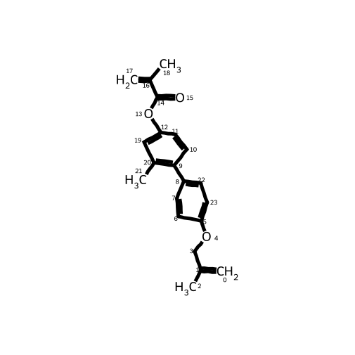 C=C(C)COc1ccc(-c2ccc(OC(=O)C(=C)C)cc2C)cc1